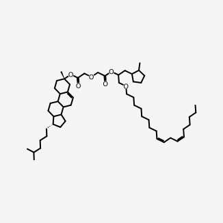 CCCCC/C=C\C/C=C\CCCCCCCCOCC(CC1CCCC1C)OC(=O)COCC(=O)O[C@@]1(C)CCC2C(=CCC3C2CCC2C3CC[C@@H]2CCCCC(C)C)C1